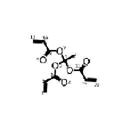 [CH2]C(OC(=O)C=C)(OC(=O)C=C)OC(=O)C=C